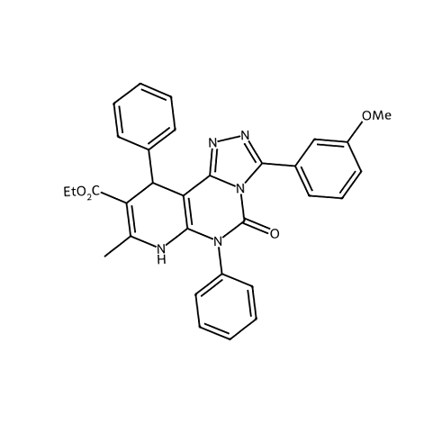 CCOC(=O)C1=C(C)Nc2c(c3nnc(-c4cccc(OC)c4)n3c(=O)n2-c2ccccc2)C1c1ccccc1